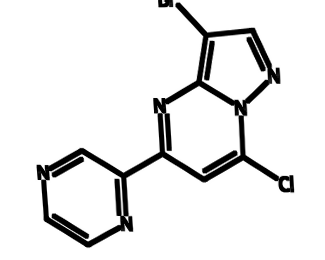 Clc1cc(-c2cnccn2)nc2c(Br)cnn12